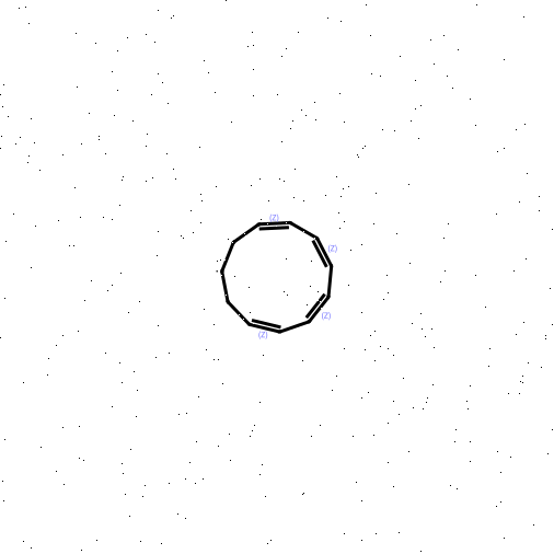 [CH]1C\C=C/C=C\C=C/C=C\C1